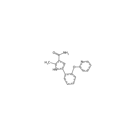 Cc1[nH]c(-c2ccccc2Oc2ccccn2)cc1C(N)=O